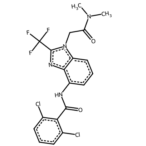 CN(C)C(=O)Cn1c(C(F)(F)F)nc2c(NC(=O)c3c(Cl)cccc3Cl)cccc21